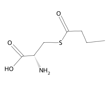 CCCC(=O)SC[C@H](N)C(=O)O